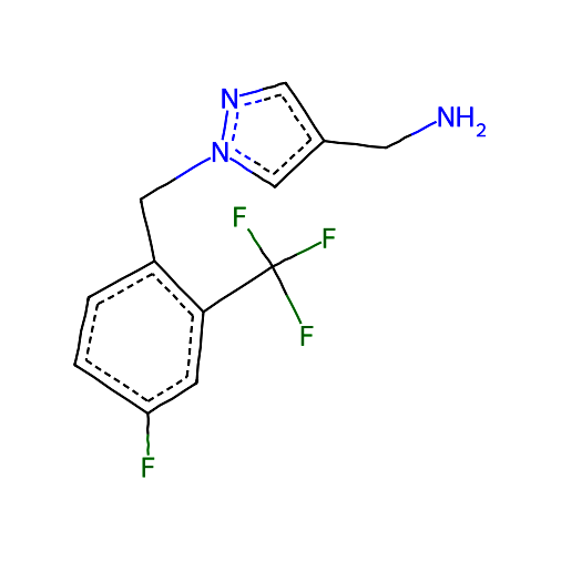 NCc1cnn(Cc2ccc(F)cc2C(F)(F)F)c1